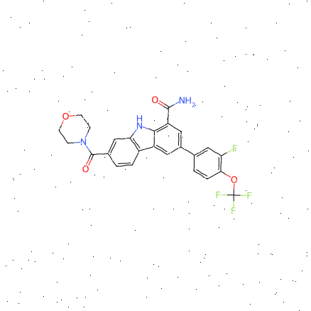 NC(=O)c1cc(-c2ccc(OC(F)(F)F)c(F)c2)cc2c1[nH]c1cc(C(=O)N3CCOCC3)ccc12